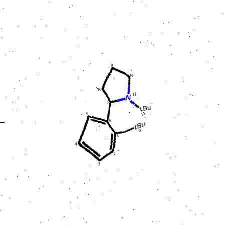 CC(C)(C)c1ccccc1C1CCCN1C(C)(C)C